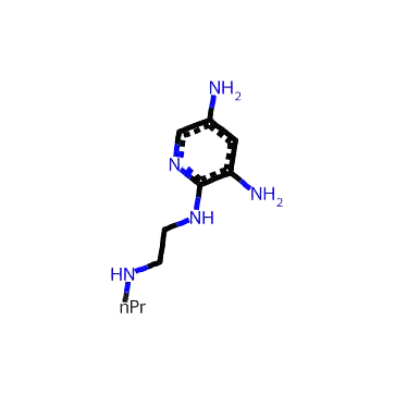 [CH2]CCNCCNc1ncc(N)cc1N